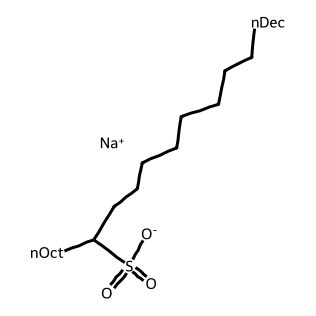 CCCCCCCCCCCCCCCCCCC(CCCCCCCC)S(=O)(=O)[O-].[Na+]